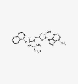 CC(NP(=O)(OCC1CC(O)[C@H](n2cnc3c(N)ncnc32)O1)Oc1cccc2ccccc12)C(=O)O